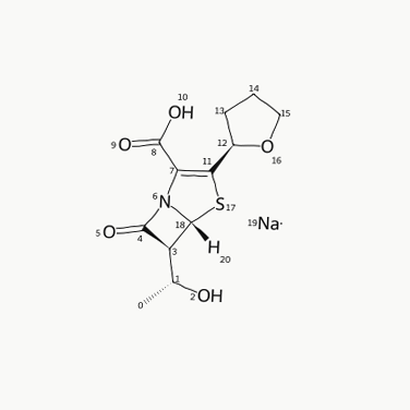 C[C@@H](O)[C@H]1C(=O)N2C(C(=O)O)=C([C@H]3CCCO3)S[C@H]12.[Na]